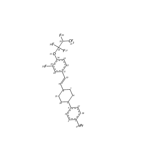 CCCc1ccc(C2CCC(C=Cc3ccc(OC(F)(F)C(F)C(F)(F)F)c(F)c3)CC2)cc1